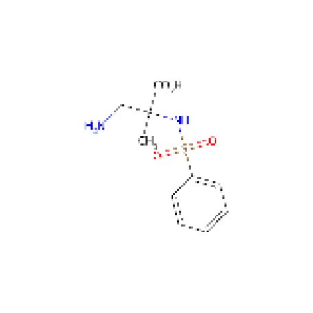 CC(CN)(NS(=O)(=O)c1ccccc1)C(=O)O